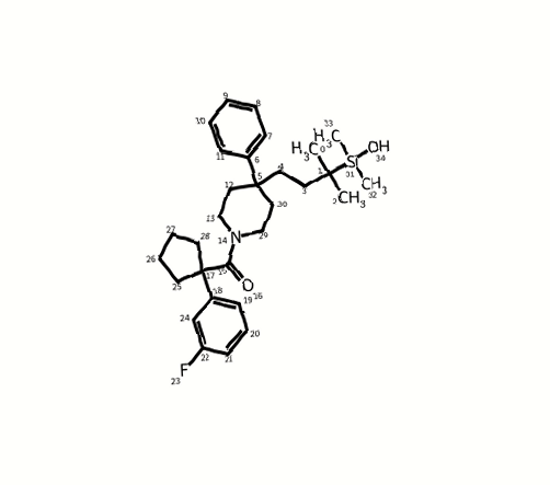 CC(C)(CCC1(c2ccccc2)CCN(C(=O)C2(c3cccc(F)c3)CCCC2)CC1)[Si](C)(C)O